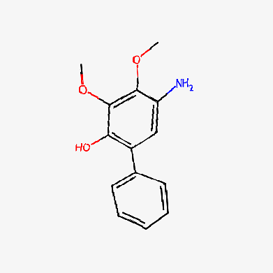 COc1c(N)cc(-c2ccccc2)c(O)c1OC